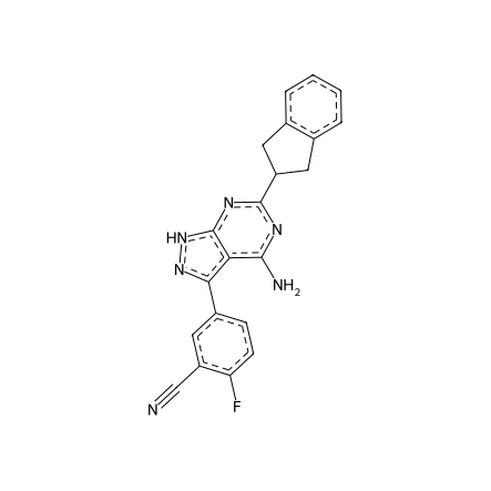 N#Cc1cc(-c2n[nH]c3nc(C4Cc5ccccc5C4)nc(N)c23)ccc1F